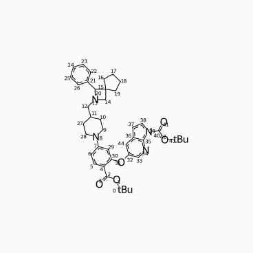 CC(C)(C)OC(=O)c1ccc(N2CCC(CN3CC4(CCCC4)C3c3ccccc3)CC2)cc1Oc1cnc2c(ccn2C(=O)OC(C)(C)C)c1